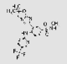 CNS(=O)(=O)c1ccc(Nc2ccc(C(F)(F)F)cn2)c(-c2cn3c(n2)OC(C)(C)C3)c1